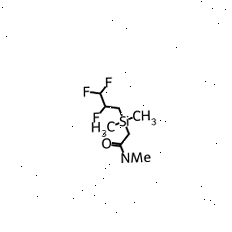 CNC(=O)C[Si](C)(C)CC(F)C(F)F